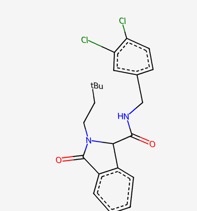 CC(C)(C)CCN1C(=O)c2ccccc2C1C(=O)NCc1ccc(Cl)c(Cl)c1